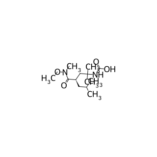 CON(C)C(=O)[C@H](CC(C)C)CC(C)(C)NC(=O)O